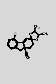 C#CC12CCC3(C=C1c1c(Cl)cccc1C2)OC(C)C(C)O3